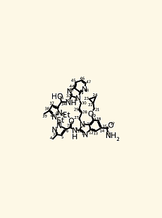 CCn1nc(C)cc1C(=O)Nc1nc2cc(C(N)=O)cc(OCC3CC3)c2n1C/C=C/Cn1c(NC(O)c2cc(C)nn2CC)nc2cccnc21